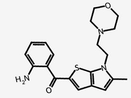 Cc1cc2cc(C(=O)c3ccccc3N)sc2n1CCN1CCOCC1